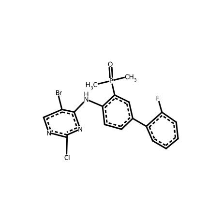 CP(C)(=O)c1cc(-c2ccccc2F)ccc1Nc1nc(Cl)ncc1Br